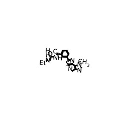 CCNCC(=O)N[C@@H](C)c1cccc(-c2nc3c(ncc4ncn(C)c43)s2)c1